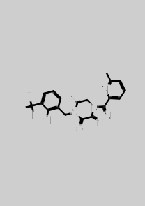 Cc1cccc(-c2nnc3n2C[C@H](C)N(Cc2cccc(C(F)(F)F)c2Cl)C3=O)n1